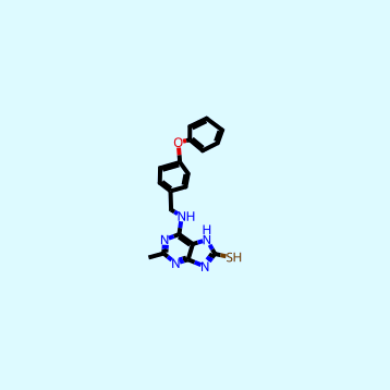 Cc1nc(NCc2ccc(Oc3ccccc3)cc2)c2[nH]c(S)nc2n1